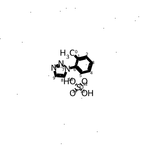 Cc1ccccc1-n1ccnn1.O=S(=O)(O)O